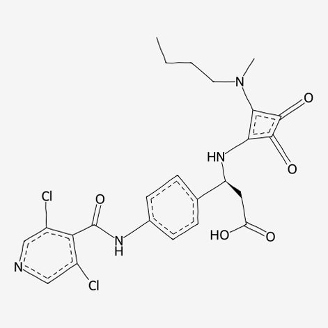 CCCCN(C)c1c(N[C@@H](CC(=O)O)c2ccc(NC(=O)c3c(Cl)cncc3Cl)cc2)c(=O)c1=O